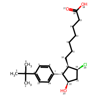 CC(C)(C)c1ccc([C@@H]2[C@@H](CCCCCCC(=O)O)[C@@H](Cl)C[C@H]2O)cc1